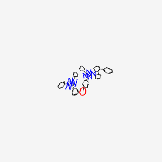 c1ccc(-c2nc(-c3ccccc3)nc(-c3cccc(Oc4ccc(-c5nc(-c6ccccc6)nc(-n6c7ccccc7c7c(-c8ccccc8)cccc76)n5)cc4)c3)n2)cc1